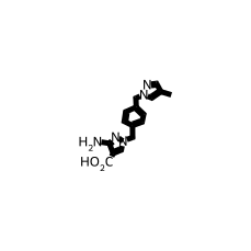 Cc1cnn(Cc2ccc(Cn3cc(C(=O)O)c(N)n3)cc2)c1